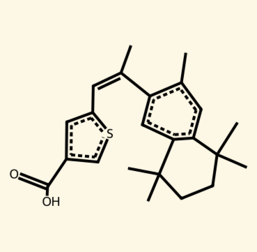 C/C(=C/c1cc(C(=O)O)cs1)c1cc2c(cc1C)C(C)(C)CCC2(C)C